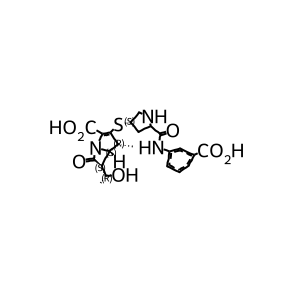 C[C@@H](O)[C@H]1C(=O)N2C(C(=O)O)=C(S[C@@H]3CNC(C(=O)Nc4cccc(C(=O)O)c4)C3)[C@H](C)[C@H]12